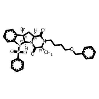 C[C@H]1C(=O)N2[C@@H](C[C@]3(Br)c4ccccc4N(S(=O)(=O)c4ccccc4)[C@H]23)C(=O)N1CCCCOCc1ccccc1